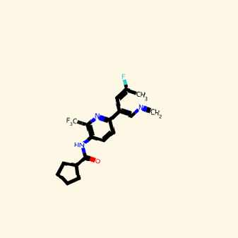 C=N/C=C(\C=C(/C)F)c1ccc(NC(=O)C2CCCC2)c(C(F)(F)F)n1